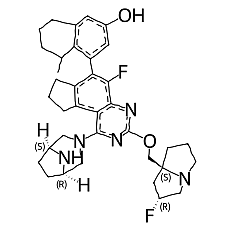 CC1CCCc2cc(O)cc(-c3c4c(c5c(N6C[C@H]7CC[C@@H](C6)N7)nc(OC[C@@]67CCCN6C[C@H](F)C7)nc5c3F)CCC4)c21